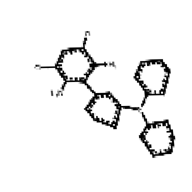 Nc1c(Cl)cc(Cl)c(N)c1-c1cccc(N(c2ccccc2)c2ccccc2)c1